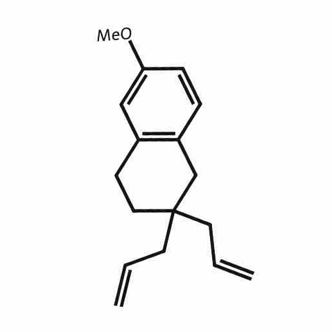 C=CCC1(CC=C)CCc2cc(OC)ccc2C1